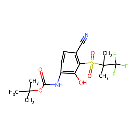 CC(C)(C)OC(=O)Nc1ccc(C#N)c(S(=O)(=O)C(C)(C)C(F)(F)F)c1O